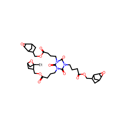 CCC12CC(CC1COC(=O)CCCn1c(=O)n(CCCC(=O)OCC3CC4CC3C3OC43)c(=O)n(CCCC(=O)OCC3CC4CC3C3OC43)c1=O)O2